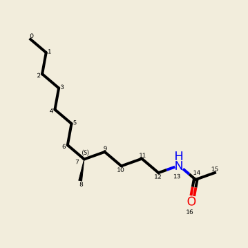 CCCCCCC[C@H](C)CCCCNC(C)=O